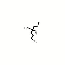 COCC([SiH3])(CCCN)OC